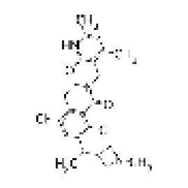 Cc1cc(C)c(CN2CCc3c(Cl)cc(C(C)C4CN(C)C4)c(Cl)c3C2=O)c(=O)[nH]1